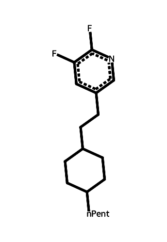 CCCCCC1CCC(CCc2cnc(F)c(F)c2)CC1